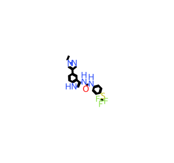 CCn1cc(-c2ccc3[nH]cc(NC(=O)Nc4ccc(SC(F)(F)F)cc4)c3c2)cn1